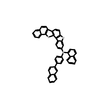 c1ccc2cc(-c3ccc(N(c4ccc5c(c4)oc4ccc6c7ccc8ccccc8c7sc6c45)c4cccc5ccccc45)cc3)ccc2c1